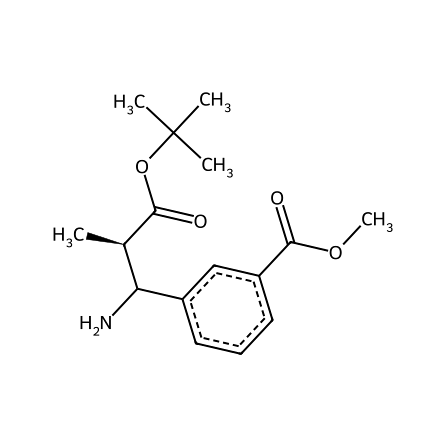 COC(=O)c1cccc(C(N)[C@@H](C)C(=O)OC(C)(C)C)c1